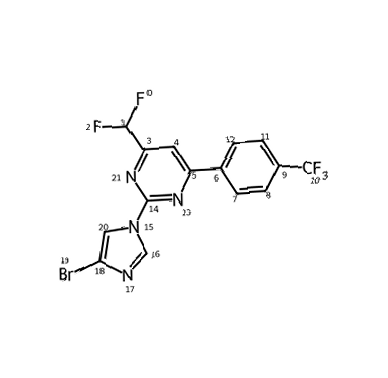 FC(F)c1cc(-c2ccc(C(F)(F)F)cc2)nc(-n2cnc(Br)c2)n1